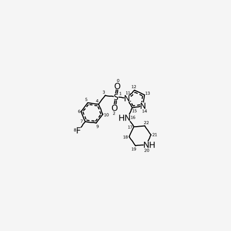 O=S(=O)(Cc1ccc(F)cc1)n1ccnc1NC1CCNCC1